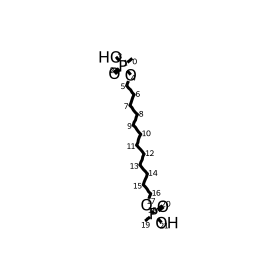 CP(=O)(O)OCCCCCCCCCCCCOP(C)(=O)O